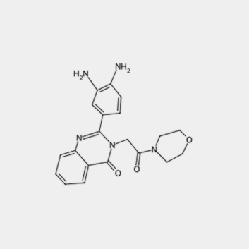 Nc1ccc(-c2nc3ccccc3c(=O)n2CC(=O)N2CCOCC2)cc1N